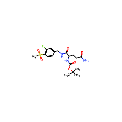 CC(C)(C)OC(=O)NC(CCC(N)=O)C(=O)NCc1ccc(S(C)(=O)=O)c(F)c1